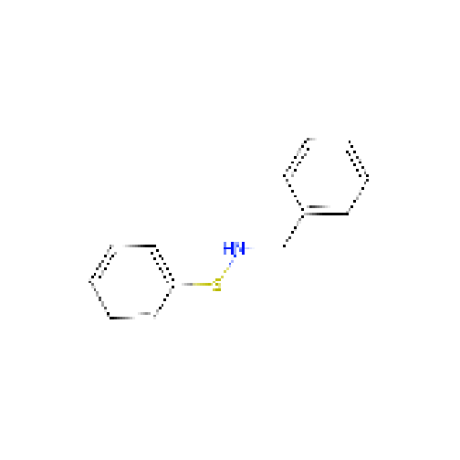 c1ccc(CNSc2ccccc2)cc1